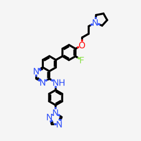 Fc1cc(-c2ccc3ncnc(Nc4ccc(-n5cncn5)cc4)c3c2)ccc1OCCCN1CCCC1